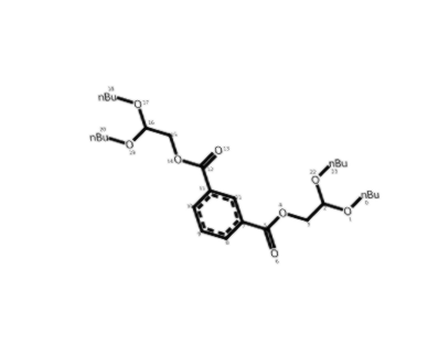 CCCCOC(COC(=O)c1cccc(C(=O)OCC(OCCCC)OCCCC)c1)OCCCC